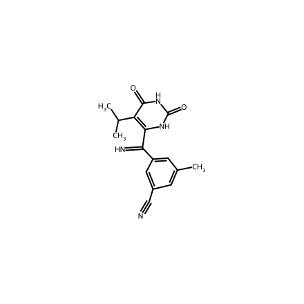 Cc1cc(C#N)cc(C(=N)c2[nH]c(=O)[nH]c(=O)c2C(C)C)c1